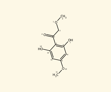 COCC(=O)c1c(O)cc(OC)cc1O